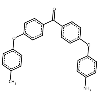 Cc1ccc(Oc2ccc(C(=O)c3ccc(Oc4ccc(N)cc4)cc3)cc2)cc1